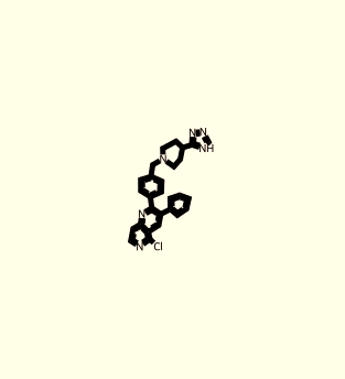 Clc1nccc2nc(-c3ccc(CN4CCC(c5nnc[nH]5)CC4)cc3)c(-c3ccccc3)cc12